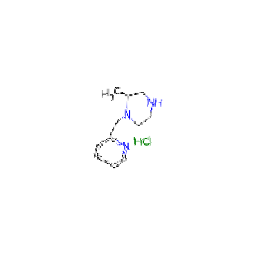 C[C@H]1CNCCN1Cc1ccccn1.Cl